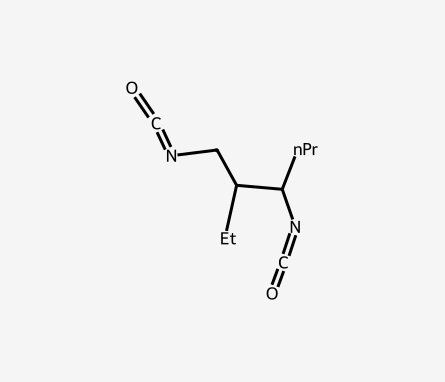 CCCC(N=C=O)C(CC)CN=C=O